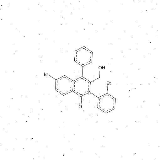 CCc1ccccc1-n1c(CO)c(-c2ccccc2)c2cc(Br)ccc2c1=O